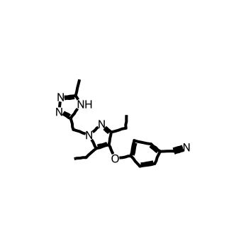 CCc1nn(Cc2nnc(C)[nH]2)c(CC)c1Oc1ccc(C#N)cc1